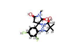 CN1C(=O)CC2(C1=O)c1cc(F)cc(F)c1N1CC(C)(C)C(=O)N12